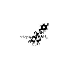 CCCCCCCN1C[C@H]2N(C(=O)CN(C)N2C(=O)NCc2ccc(F)cc2)[C@@H](C(C)CC)C1=O